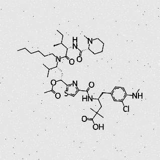 CCCCCCN(C(=O)[C@@H](NC(=O)[C@H]1CCCCN1C)[C@@H](C)CC)[C@H](C[C@@H](OC(C)=O)c1nc(C(=O)N[C@@H](Cc2ccc(NC)c(Cl)c2)CC(C)(C)C(=O)O)cs1)C(C)C